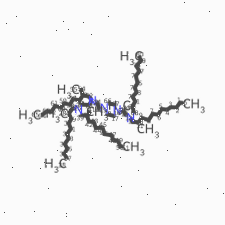 CCCCCCCCCCC(C)CN(CCN1CCN(CCN(CCN(CC(C)CCCCCCCCCC)CC(C)CCCCCCCCCC)CC(CC)CCCCCCCCCC)CC1)CC(C)CCCCCCCCCC